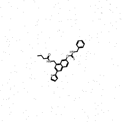 CCCC(=O)NCc1cc(-c2cccs2)cc2ccc(OC(=S)NCc3ccccc3)cc12